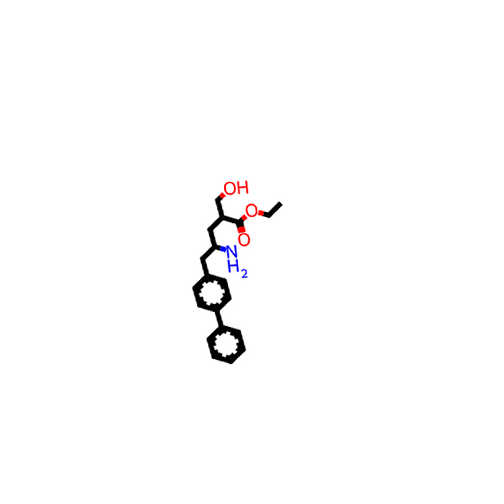 CCOC(=O)C(CO)CC(N)Cc1ccc(-c2ccccc2)cc1